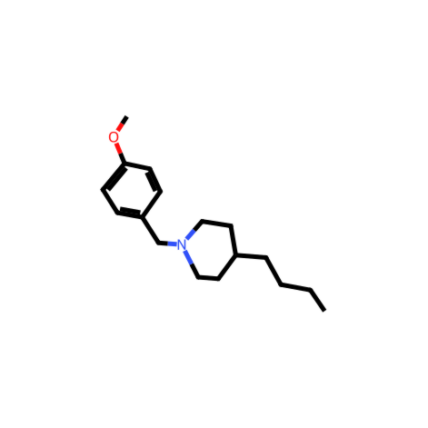 CCCCC1CCN(Cc2ccc(OC)cc2)CC1